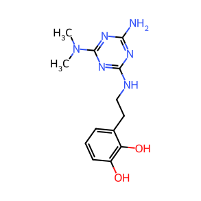 CN(C)c1nc(N)nc(NCCc2cccc(O)c2O)n1